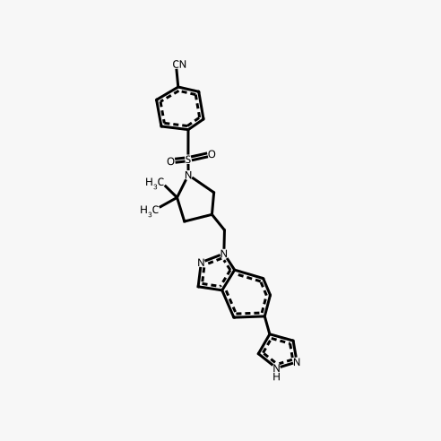 CC1(C)CC(Cn2ncc3cc(-c4cn[nH]c4)ccc32)CN1S(=O)(=O)c1ccc(C#N)cc1